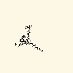 CCCCCCCC/C=C\CCCCCCCC(=O)Cl.COc1ccc(N)cc1S(=O)(=O)O